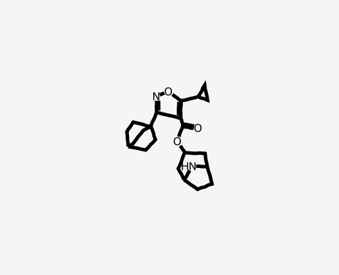 O=C(OC1CC2CCC(C1)N2)c1c(C23CCC(CC2)CC3)noc1C1CC1